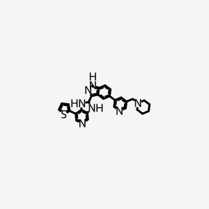 c1csc(-c2cncc3c2NC(c2n[nH]c4ccc(-c5cncc(CN6CCCCC6)c5)cc24)N3)c1